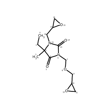 CCC1(C)C(=O)N(COCC2CO2)C(=O)N1CC1CO1